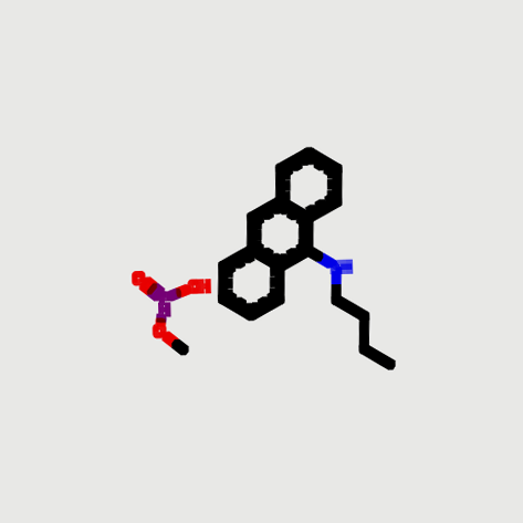 CCCCNc1c2ccccc2cc2ccccc12.CO[PH](=O)O